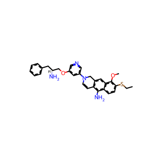 CCSc1ccc2c(N)c3c(cc2c1OC)CN(c1cncc(OC[C@H](N)Cc2ccccc2)c1)C=C3